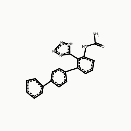 NC(=O)Nc1cccc(-c2ccc(-c3ccccc3)cc2)c1-c1nnn[nH]1